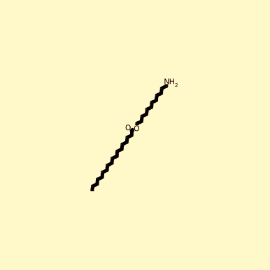 CCCCCCCCCCCCCCCCCC(=O)OCCCCCCCCCCCCN